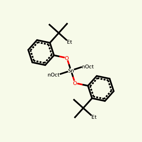 CCCCCCC[CH2][Sn]([CH2]CCCCCCC)([O]c1ccccc1C(C)(C)CC)[O]c1ccccc1C(C)(C)CC